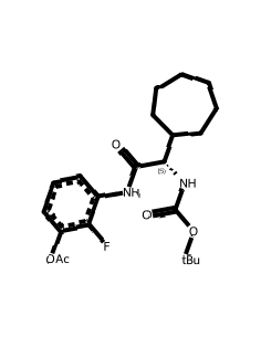 CC(=O)Oc1cccc(NC(=O)[C@@H](NC(=O)OC(C)(C)C)C2CCCCCC2)c1F